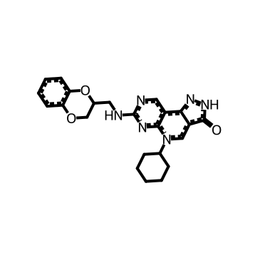 O=c1[nH]nc2c3cnc(NCC4COc5ccccc5O4)nc3n(C3CCCCC3)cc1-2